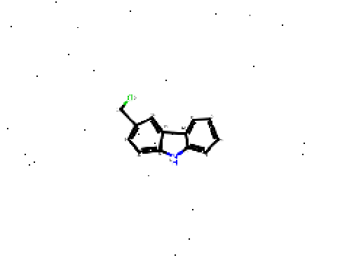 ClCc1ccc2[nH]c3ccccc3c2c1